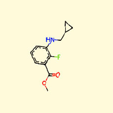 COC(=O)c1cccc(NCC2CC2)c1F